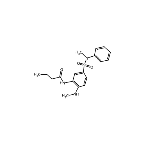 CCCC(=O)Nc1cc(S(=O)(=O)N(C)c2ccccc2)ccc1NC